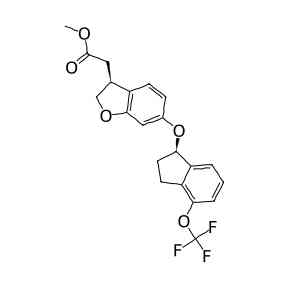 COC(=O)C[C@@H]1COc2cc(O[C@@H]3CCc4c(OC(F)(F)F)cccc43)ccc21